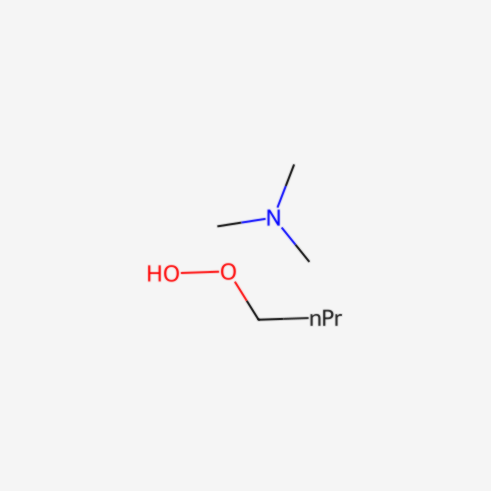 CCCCOO.CN(C)C